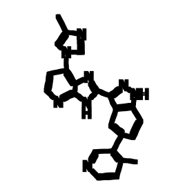 Cc1cn(-c2ccnc3[nH]c(-c4n[nH]c5ccc(-c6cnccc6C)cc45)nc23)cn1